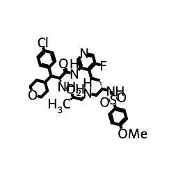 COc1ccc(S(=O)(=O)N[C@@H](CCc2c(F)cncc2NC(=O)[C@@H](N)C(c2ccc(Cl)cc2)C2CCOCC2)CNC[C@@H](C)O)cc1